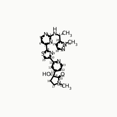 C[C@@H](Nc1nccc(-c2nc(-c3cc([C@]4(O)CCN(C)C4=O)ccn3)cs2)n1)c1ccnn1C